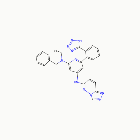 CC(C)CN(Cc1ccccc1)c1cc(Nc2ccc3nncn3n2)cc(-c2ccccc2-c2nnn[nH]2)n1